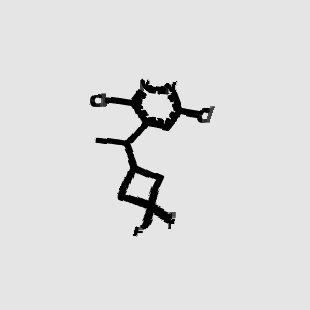 CC(c1cc(Cl)nnc1Cl)C1CC(F)(F)C1